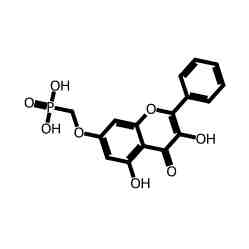 O=c1c(O)c(-c2ccccc2)oc2cc(OCP(=O)(O)O)cc(O)c12